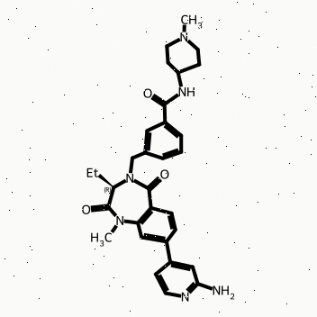 CC[C@@H]1C(=O)N(C)c2cc(-c3ccnc(N)c3)ccc2C(=O)N1Cc1cccc(C(=O)NC2CCN(C)CC2)c1